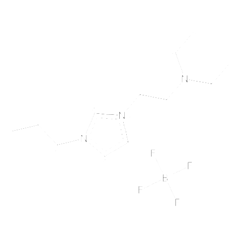 CCC[n+]1ccn(CCN(CC)CC)c1.F[B-](F)(F)F